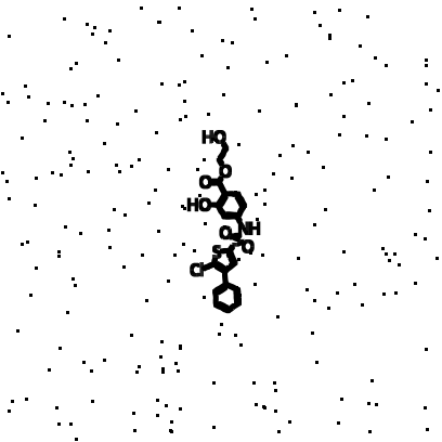 O=C(OCCO)c1ccc(NS(=O)(=O)c2cc(-c3ccccc3)c(Cl)s2)cc1O